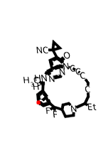 CCC1CCCCCCn2c(=O)c(C3(C#N)CC3)cc3c(ncnc32)N[C@H](C)c2cccc(c2F)C(F)(F)C2CCN1CC2